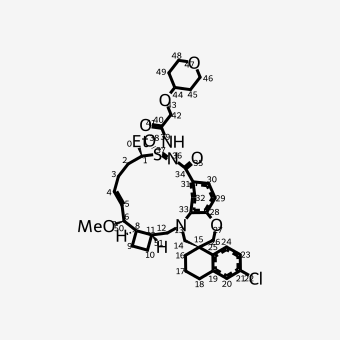 CC[C@@H]1CC/C=C/[C@H](OC)[C@@H]2CC[C@H]2CN2C[C@@]3(CCCc4cc(Cl)ccc43)COc3ccc(cc32)C(=O)N=S1(=O)NC(=O)COC1CCOCC1